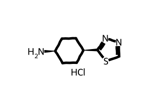 Cl.N[C@H]1CC[C@@H](c2nncs2)CC1